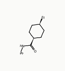 CC[C@H]1CC[C@@H](C(=O)NC(C)C)CC1